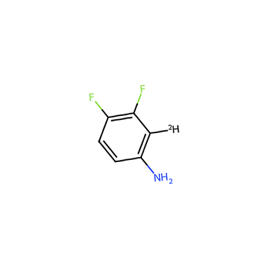 [2H]c1c(N)ccc(F)c1F